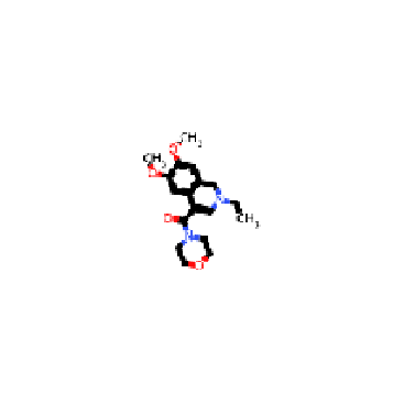 CCN1C=C(C(=O)N2CCOCC2)c2cc(OC)c(OC)cc2C1